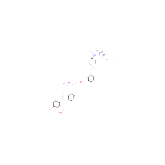 CCCCN(CCN(CCc1ccc(O)c2c1OCC(=O)N2)c1ccccc1)C(=O)CCOCCc1cccc(CCN2CCC3(CC2)CN(C(=O)c2csc(C(C)C)n2)CCO3)c1